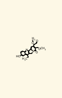 CCc1c2c(nc3ccc(O)cc13)-c1cc(C(C=O)OC)c(COC)c(=O)n1C2